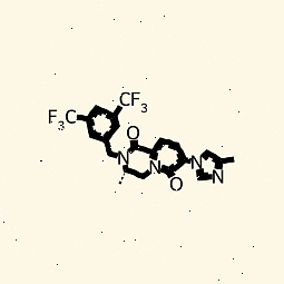 Cc1cn(-c2ccc3n(c2=O)C[C@H](C)N(Cc2cc(C(F)(F)F)cc(C(F)(F)F)c2)C3=O)cn1